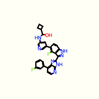 OC(Nc1cncc(-c2ccc3[nH]nc(-c4nc5c(-c6cccc(F)c6)ccnc5[nH]4)c3c2F)c1)C1CCC1